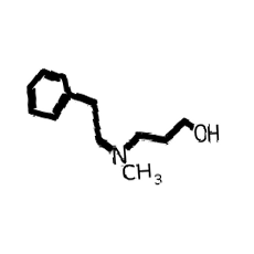 CN(CCCO)CCc1ccccc1